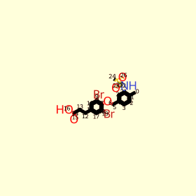 Cc1ccc(COc2c(Br)cc(CCC(=O)O)cc2Br)cc1NS(C)(=O)=O